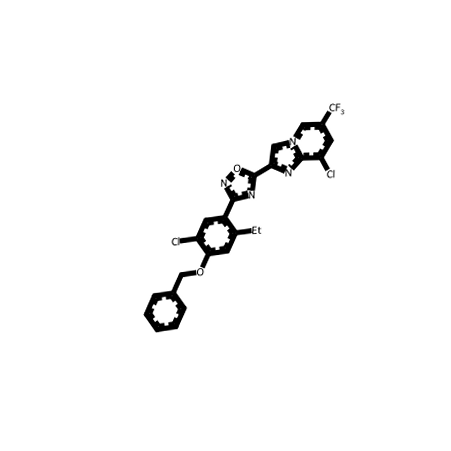 CCc1cc(OCc2ccccc2)c(Cl)cc1-c1noc(-c2cn3cc(C(F)(F)F)cc(Cl)c3n2)n1